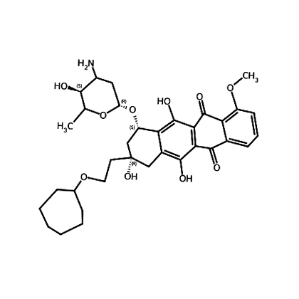 COc1cccc2c1C(=O)c1c(O)c3c(c(O)c1C2=O)C[C@@](O)(CCOC1CCCCCC1)C[C@@H]3O[C@H]1CC(N)[C@H](O)C(C)O1